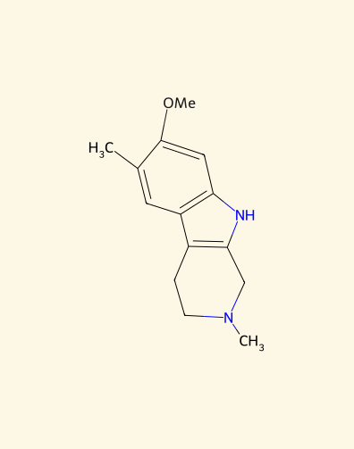 COc1cc2[nH]c3c(c2cc1C)CCN(C)C3